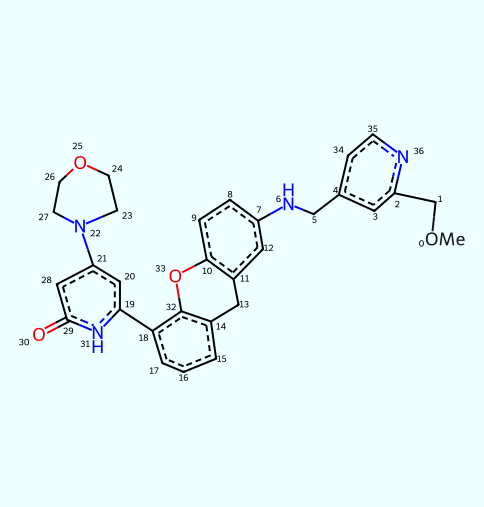 COCc1cc(CNc2ccc3c(c2)Cc2cccc(-c4cc(N5CCOCC5)cc(=O)[nH]4)c2O3)ccn1